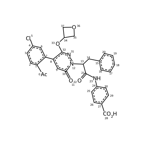 CC(=O)c1ccc(Cl)cc1-c1cc(=O)n(C(Cc2ccccc2)C(=O)Nc2ccc(C(=O)O)cc2)nc1OC1COC1